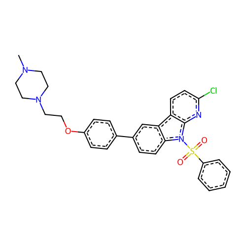 CN1CCN(CCOc2ccc(-c3ccc4c(c3)c3ccc(Cl)nc3n4S(=O)(=O)c3ccccc3)cc2)CC1